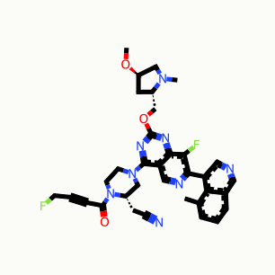 CO[C@@H]1C[C@@H](COc2nc(N3CCN(C(=O)C#CCF)[C@@H](CC#N)C3)c3cnc(-c4cncc5cccc(C)c45)c(F)c3n2)N(C)C1